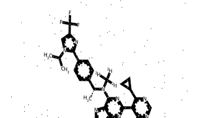 [2H]C([2H])([2H])N(c1nc(-c2c(OC)ncnc2C2CC2)nc2cn(C)nc12)[C@H](C)c1ccc(-c2nc(C(F)(F)F)cn2C(C)C)cc1